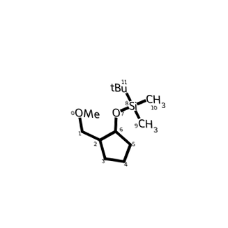 COCC1CCCC1O[Si](C)(C)C(C)(C)C